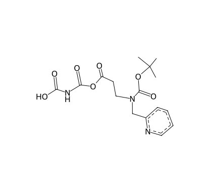 CC(C)(C)OC(=O)N(CCC(=O)OC(=O)NC(=O)O)Cc1ccccn1